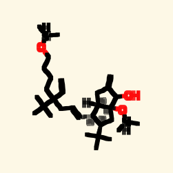 C=CC(CC=C[C@H]1[C@H](C(C)(C)C)C[C@@]2(O[SiH](C)C)C(O)C(=C)C[C@@H]12)(CCCCO[SiH](C)C)C(C)(C)C